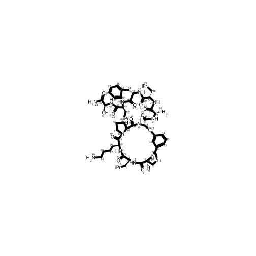 CC(C)C[C@@H]1NC(=O)[C@@H]2CSC(=N2)c2cccc(c2)C[C@@H](C(=O)N[C@@H](C)C(=O)N[C@@H](CC(C)C)C(=O)N[C@@H](Cc2ccccc2)C(=O)N[C@@H](CC(C)C)C(=O)N[C@@H](C)C(N)=O)NC(=O)[C@@H]2CCCN2C(=O)[C@H](CCCCN)NC1=O